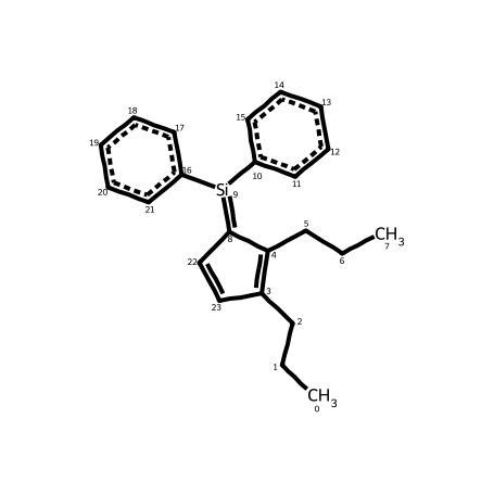 CCCC1=C(CCC)C(=[Si](c2ccccc2)c2ccccc2)C=C1